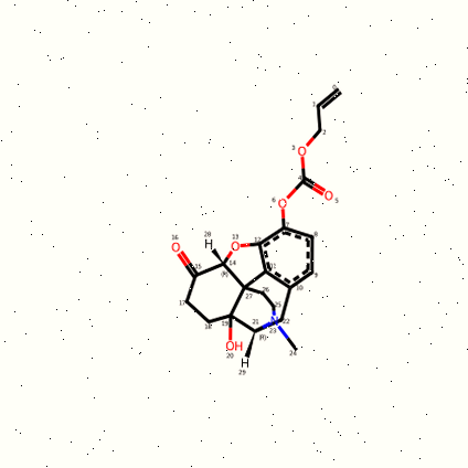 C=CCOC(=O)Oc1ccc2c3c1O[C@H]1C(=O)CCC4(O)[C@@H](C2)N(C)CCC314